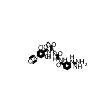 COC(=O)[C@H](CNC(=O)CNC(=O)c1cccc(NC(=N)N)c1)NC(=O)c1c(Cl)cc(N2CCOCC2)cc1Cl